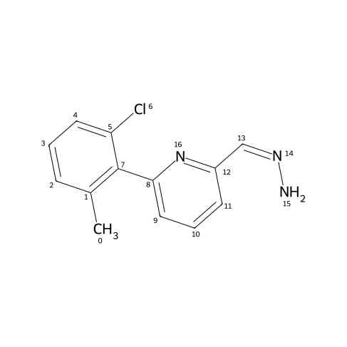 Cc1cccc(Cl)c1-c1cccc(/C=N\N)n1